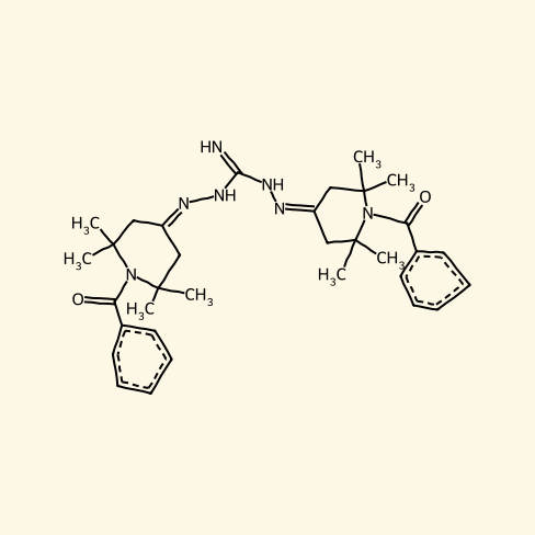 CC1(C)CC(=NNC(=N)NN=C2CC(C)(C)N(C(=O)c3ccccc3)C(C)(C)C2)CC(C)(C)N1C(=O)c1ccccc1